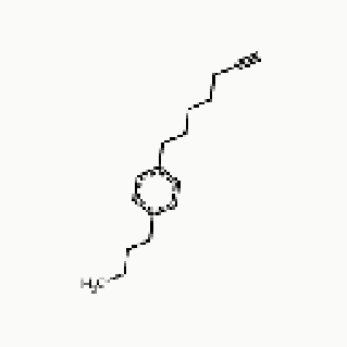 [C]#CCCCCCc1ccc(CCCC)cc1